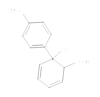 COc1ccc(C2(C)C=CC=CC2S(=O)(=O)O)cc1